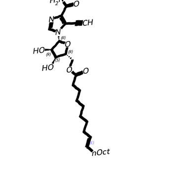 C#Cc1c(C(N)=O)ncn1[C@@H]1O[C@H](COC(=O)CCCCCCC/C=C/CCCCCCCC)[C@@H](O)[C@H]1O